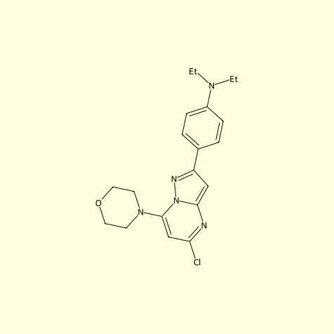 CCN(CC)c1ccc(-c2cc3nc(Cl)cc(N4CCOCC4)n3n2)cc1